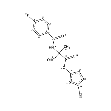 CC(C=O)(NC(=O)c1ccc(F)cc1)C(=O)Oc1ccc(Cl)s1